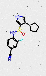 N#Cc1ccc(N[S+]([O-])c2c[nH]cc2C2CCCC2)c(F)c1